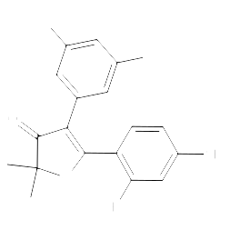 CC1(C)OC(c2ccc(S)cc2F)=C(c2cc(F)cc(F)c2)C1=O